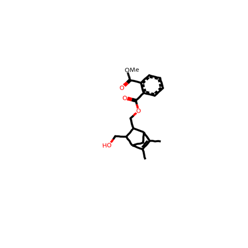 COC(=O)c1ccccc1C(=O)OCC1C2CC(C(C)=C2C)C1CO